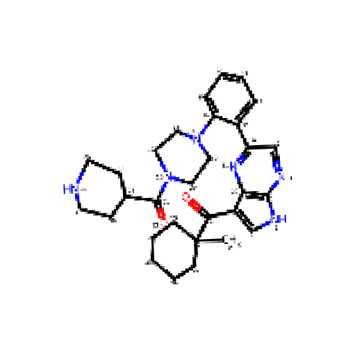 CC1(C(=O)c2c[nH]c3ncc(-c4ccccc4N4CCN(C(=O)C5CCNCC5)CC4)nc23)CCCCC1